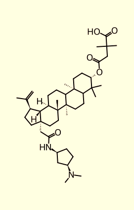 C=C(C)[C@@H]1CC[C@]2(CC(=O)N[C@H]3CC[C@@H](N(C)C)C3)CC[C@]3(C)[C@H](CCC4[C@@]5(C)CC[C@H](OC(=O)CC(C)(C)C(=O)O)C(C)(C)C5CC[C@]43C)[C@@H]12